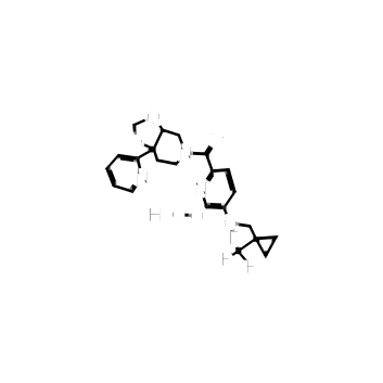 COc1nc(C(=O)N2CCC3(c4ccccn4)OCOC3C2)ccc1OCC1(C(F)(F)F)CC1